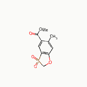 COC(=O)c1cc2c(cc1C)OCS2(=O)=O